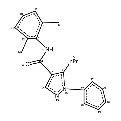 CCCc1c(C(=O)Nc2c(C)cccc2C)cnn1-c1ccccc1